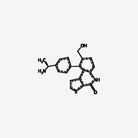 C[C@H](N)c1ccc(-c2c(CO)ccc3[nH]c(=O)c4sccc4c23)cc1